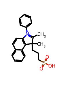 CC1=[N+](c2ccccc2)c2ccc3ccccc3c2C1(C)CCCS(=O)(=O)O